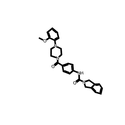 COc1ccccc1N1CCN(C(=O)c2ccc(NC(=O)N3Cc4ccccc4C3)cc2)CC1